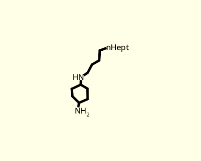 CCCCCCCCCCCNC1CCC(N)CC1